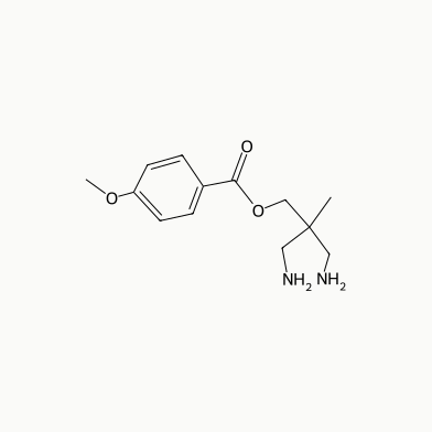 COc1ccc(C(=O)OCC(C)(CN)CN)cc1